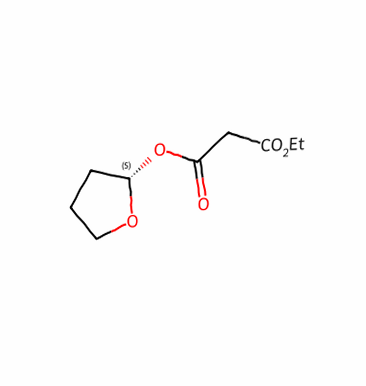 CCOC(=O)CC(=O)O[C@H]1CCCO1